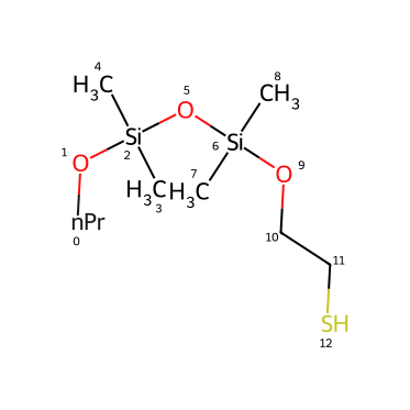 CCCO[Si](C)(C)O[Si](C)(C)OCCS